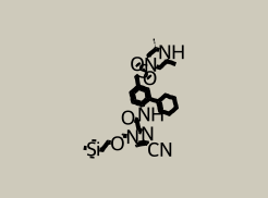 CC1CN(S(=O)(=O)Cc2ccc(NC(=O)c3nc(C#N)cn3COCC[Si](C)(C)C)c(C3=CCCCC3)c2)C[C@H](C)N1